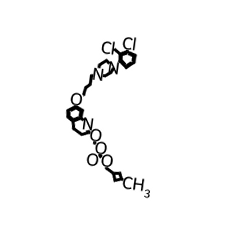 CC1CC(COC(=O)OCOC2=Nc3cc(OCCCCN4CCN(c5cccc(Cl)c5Cl)CC4)ccc3CC2)C1